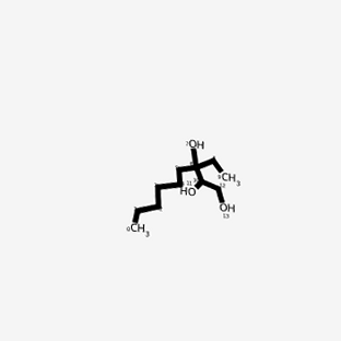 CCCCCCC(O)(CC)C(O)CO